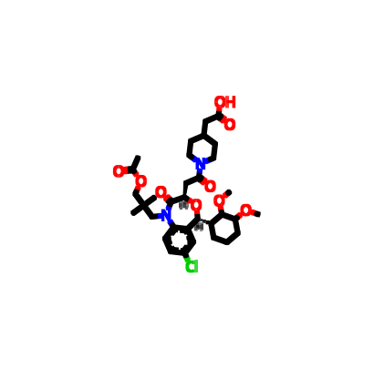 COC1CCCC([C@H]2O[C@H](CC(=O)N3CCC(CC(=O)O)CC3)C(=O)N(CC(C)(C)COC(C)=O)c3ccc(Cl)cc32)C1OC